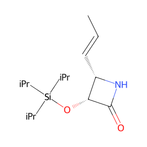 CC=C[C@@H]1NC(=O)[C@@H]1O[Si](C(C)C)(C(C)C)C(C)C